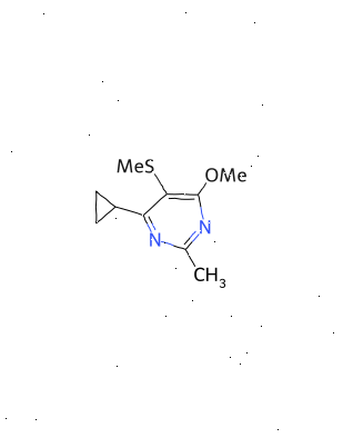 COc1nc(C)nc(C2CC2)c1SC